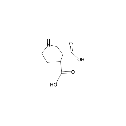 O=C(O)C1CCNCC1.O=CO